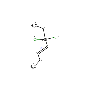 CC/C=C/[Si](Cl)(Cl)CC